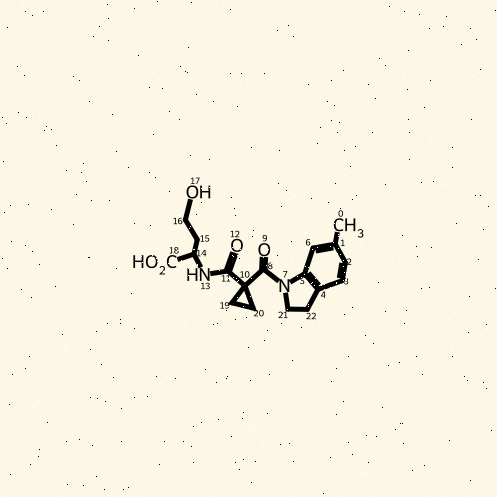 Cc1ccc2c(c1)N(C(=O)C1(C(=O)NC(CCO)C(=O)O)CC1)CC2